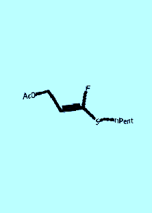 CCCCCSC(F)=CCOC(C)=O